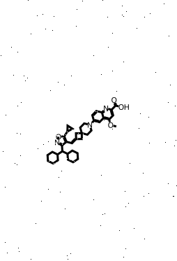 COc1cc(C(=O)O)nc2ccc(N3CCC4(CC3)CC(=Cc3c(C(C5CCCCC5)C5CCCCC5)noc3C3CC3)C4)cc12